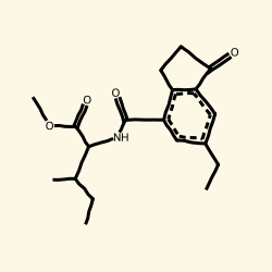 CCc1cc2c(c(C(=O)NC(C(=O)OC)C(C)CC)c1)CCC2=O